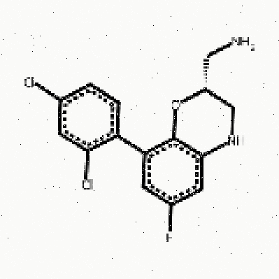 NC[C@@H]1CNc2cc(F)cc(-c3ccc(Cl)cc3Cl)c2O1